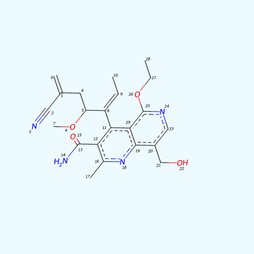 C=C(C#N)CC(OC)/C(=C\C)c1c(C(N)=O)c(C)nc2c(CO)cnc(OCC)c12